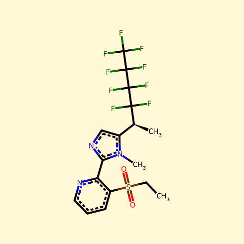 CCS(=O)(=O)c1cccnc1-c1ncc([C@H](C)C(F)(F)C(F)(F)C(F)(F)C(F)(F)F)n1C